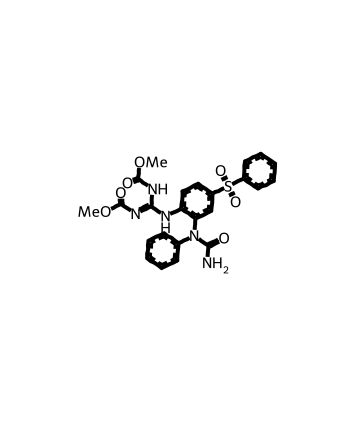 COC(=O)N=C(NC(=O)OC)Nc1ccc(S(=O)(=O)c2ccccc2)cc1N(C(N)=O)c1ccccc1